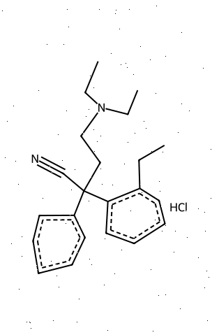 CCc1ccccc1C(C#N)(CCN(CC)CC)c1ccccc1.Cl